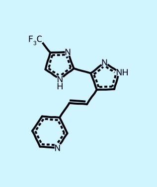 FC(F)(F)c1c[nH]c(-c2n[nH]cc2/C=C/c2cccnc2)n1